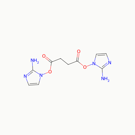 Nc1nccn1OC(=O)CCC(=O)On1ccnc1N